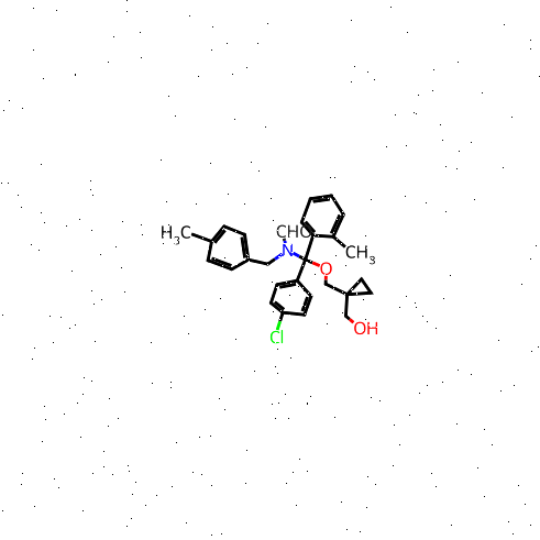 Cc1ccc(CN(C=O)C(OCC2(CO)CC2)(c2ccc(Cl)cc2)c2ccccc2C)cc1